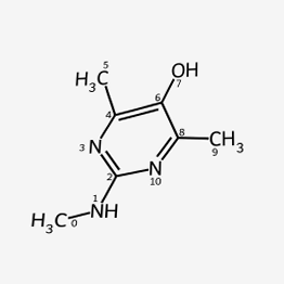 CNc1nc(C)c(O)c(C)n1